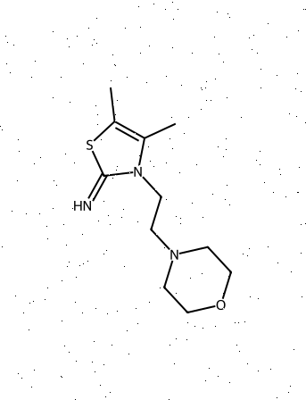 Cc1sc(=N)n(CCN2CCOCC2)c1C